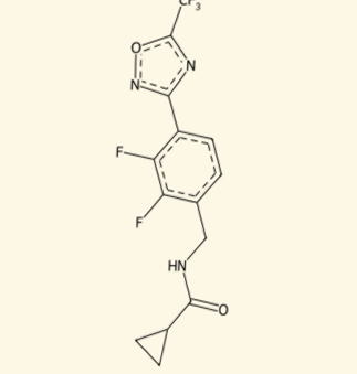 O=C(NCc1ccc(-c2noc(C(F)(F)F)n2)c(F)c1F)C1CC1